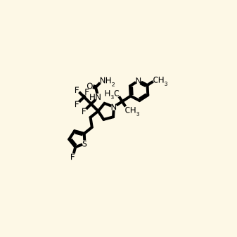 Cc1ccc(C(C)(C)N2CCC(CCc3ccc(F)s3)(C(F)(NC(N)=O)C(F)(F)F)C2)cn1